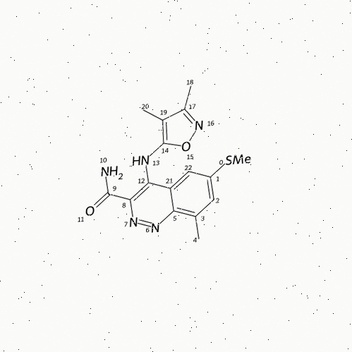 CSc1cc(C)c2nnc(C(N)=O)c(Nc3onc(C)c3C)c2c1